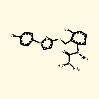 CCc1cccc(N(N)C(=O)N(C)N)c1COc1ccn(-c2ccc(Cl)cc2)n1